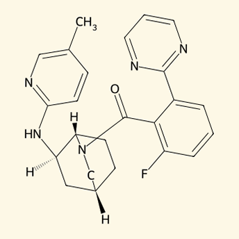 Cc1ccc(N[C@@H]2C[C@H]3CC[C@@H]2N(C(=O)c2c(F)cccc2-c2ncccn2)C3)nc1